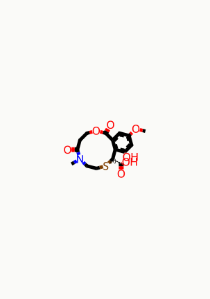 COc1cc(O)c2c(c1)C(=O)OCCC(=O)N(C)CCS[C@H]2C(=O)O